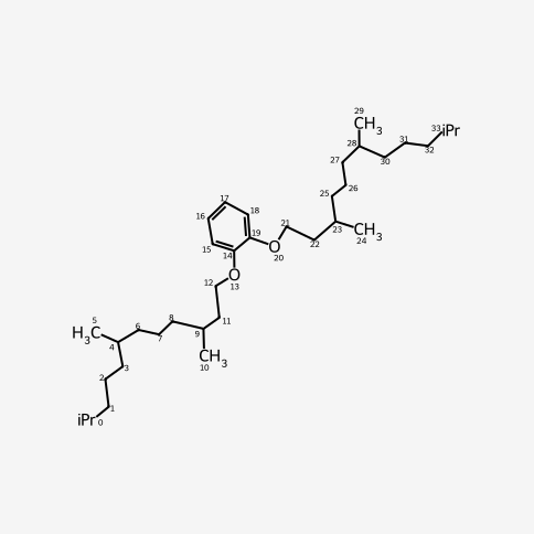 CC(C)CCCC(C)CCCC(C)CCOc1ccccc1OCCC(C)CCCC(C)CCCC(C)C